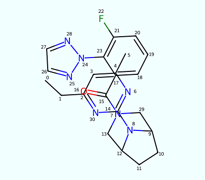 CCc1cc(C)nc(N2C3CCC2CN(C(=O)c2cccc(F)c2-n2nccn2)C3)n1